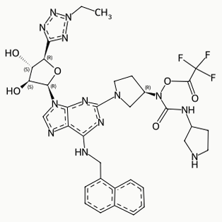 CCn1nnc([C@H]2O[C@@H](n3cnc4c(NCc5cccc6ccccc56)nc(N5CC[C@@H](N(OC(=O)C(F)(F)F)C(=O)NC6CCNC6)C5)nc43)[C@@H](O)[C@@H]2O)n1